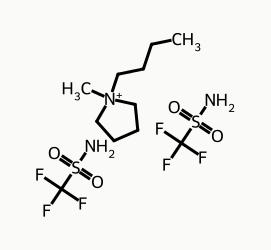 CCCC[N+]1(C)CCCC1.NS(=O)(=O)C(F)(F)F.NS(=O)(=O)C(F)(F)F